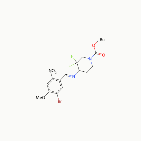 COc1cc([N+](=O)[O-])c(C=NC2CCN(C(=O)OC(C)(C)C)CC2(F)F)cc1Br